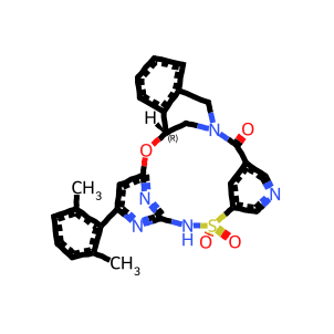 Cc1cccc(C)c1-c1cc2nc(n1)NS(=O)(=O)c1cncc(c1)C(=O)N1Cc3ccccc3[C@H](C1)O2